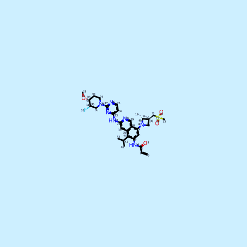 C=CC(=O)Nc1cc(N2C[C@H](CS(C)(=O)=O)[C@H]2C)c2cnc(Nc3ccnc(N4CC[C@@H](OC)[C@H](F)C4)n3)cc2c1C(C)C